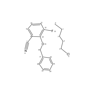 CCCCCCl.N#Cc1cccc(F)c1OCc1ccccc1